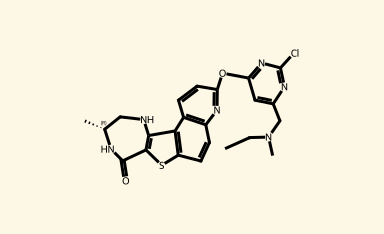 CCN(C)Cc1cc(Oc2ccc3c(ccc4sc5c(c43)NC[C@@H](C)NC5=O)n2)nc(Cl)n1